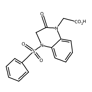 O=C(O)CN1C(=O)CN(S(=O)(=O)c2ccccc2)c2ccccc21